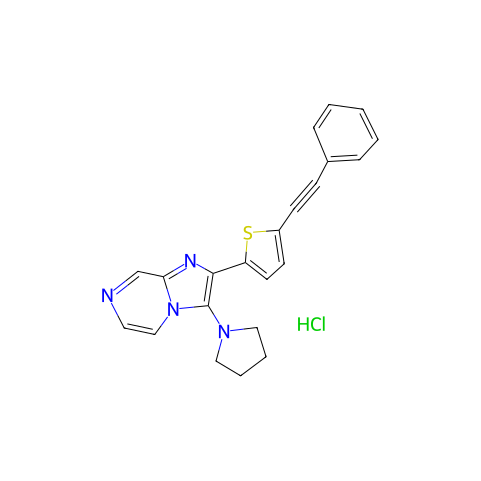 C(#Cc1ccc(-c2nc3cnccn3c2N2CCCC2)s1)c1ccccc1.Cl